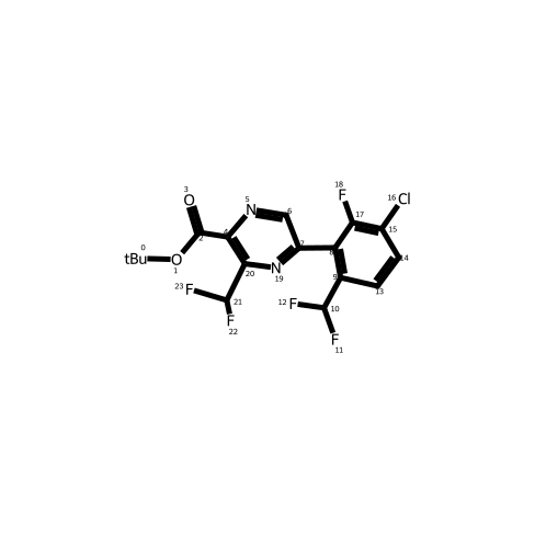 CC(C)(C)OC(=O)c1ncc(-c2c(C(F)F)ccc(Cl)c2F)nc1C(F)F